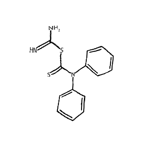 N=C(N)SC(=S)N(c1ccccc1)c1ccccc1